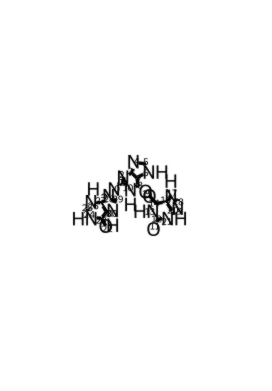 Nc1nc2nc[nH]c2c(=O)[nH]1.O=c1[nH]c(=O)c2[nH]cnc2[nH]1.O=c1[nH]cnc2nc[nH]c12